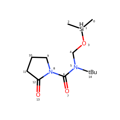 C[SiH](C)OCN(C(=O)N1CCCC1=O)C(C)(C)C